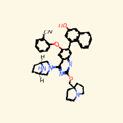 N#Cc1ccccc1Oc1cc2c(N3C[C@H]4CC[C@@H](C3)N4)nc(OCC34CCCN3CCC4)nc2cc1-c1cc(O)cc2ccccc12